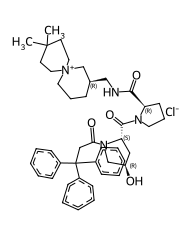 CC1(C)CC[N+]2(CCC[C@H](CNC(=O)[C@H]3CCCN3C(=O)[C@@H]3C[C@@H](O)CN3C(=O)CC(c3ccccc3)(c3ccccc3)c3ccccc3)C2)CC1.[Cl-]